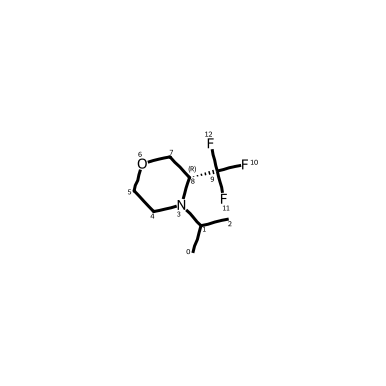 CC(C)N1CCOC[C@@H]1C(F)(F)F